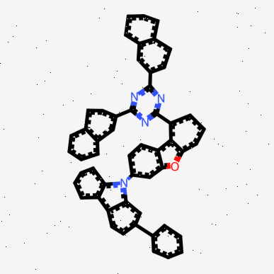 c1ccc(-c2ccc3c4ccccc4n(-c4ccc5c(c4)oc4cccc(-c6nc(-c7ccc8ccccc8c7)nc(-c7ccc8ccccc8c7)n6)c45)c3c2)cc1